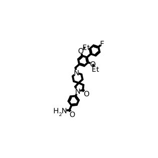 CCOc1cc(CN2CCC3(CC2)CC(=O)N(c2ccc(C(N)=O)cc2)C3)cc(OCC)c1-c1ccc(F)cc1